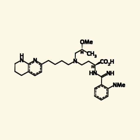 CNc1ccccc1C(=N)N[C@@H](CCN(CCCCc1ccc2c(n1)NCCC2)C[C@@H](C)OC)C(=O)O